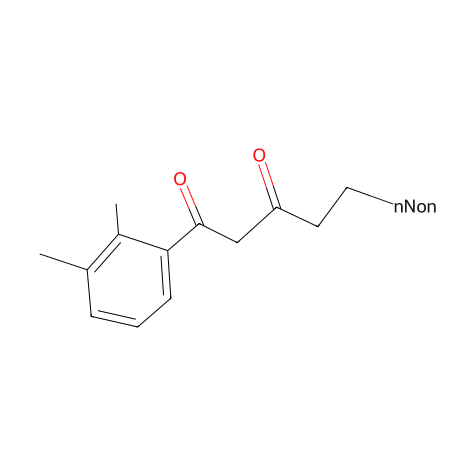 CCCCCCCCCCCC(=O)CC(=O)c1cccc(C)c1C